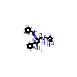 Nc1ccccc1-c1ccc(C(=O)NC[C@H]2CCC(=O)N2)c(NCCc2cccc(F)c2)n1